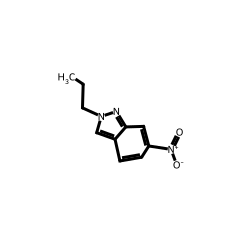 CCCn1cc2ccc([N+](=O)[O-])cc2n1